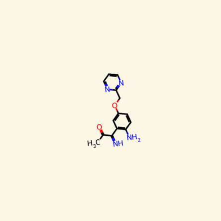 CC(=O)C(=N)c1cc(OCc2ncccn2)ccc1N